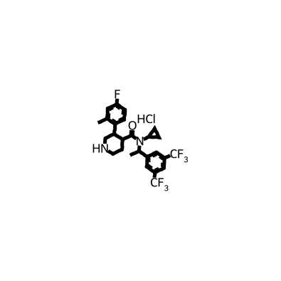 Cc1cc(F)ccc1C1CNCCC1C(=O)N(C1CC1)C(C)c1cc(C(F)(F)F)cc(C(F)(F)F)c1.Cl